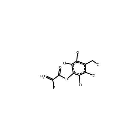 C=C(F)C(=O)Oc1c(Cl)c(Cl)c(CCl)c(Cl)c1Cl